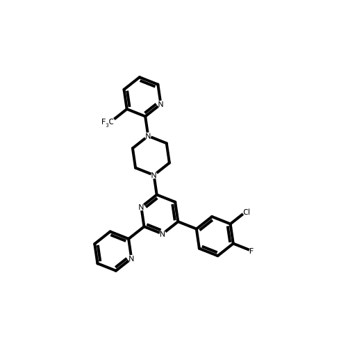 Fc1ccc(-c2cc(N3CCN(c4ncccc4C(F)(F)F)CC3)nc(-c3ccccn3)n2)cc1Cl